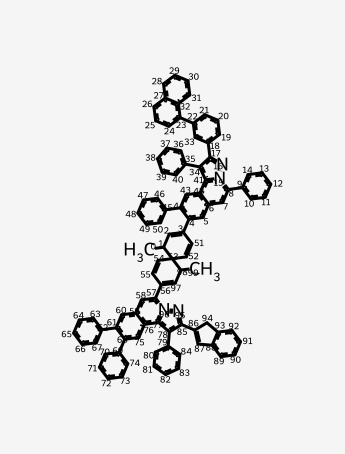 CC1C=C(c2cc3cc(-c4ccccc4)n4nc(-c5cccc(-c6cccc7ccccc67)c5)c(-c5ccccc5)c4c3cc2-c2ccccc2)C=CC12C=CC(c1cc3cc(-c4ccccc4)c(-c4ccccc4)cc3c3c(-c4ccccc4)c(C4=Cc5ccccc5C4)nn13)=CC2C